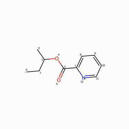 [CH2]CC(C)OC(=O)c1ccccn1